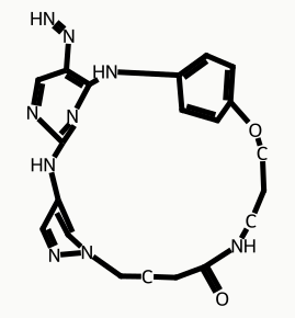 N=Nc1cnc2nc1Nc1ccc(cc1)OCCCNC(=O)CCCn1cc(cn1)N2